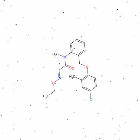 CCON=CC(=O)N(C)c1ccccc1COc1ccc(Cl)cc1C